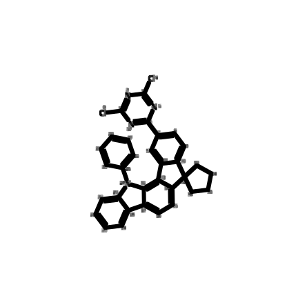 Clc1nc(Cl)nc(-c2ccc3c(c2)-c2c(ccc4c5ccccc5n(-c5ccccc5)c24)C32CCCC2)n1